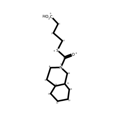 O=C(O)CCCSC(=O)N1CCC2CCCCC2C1